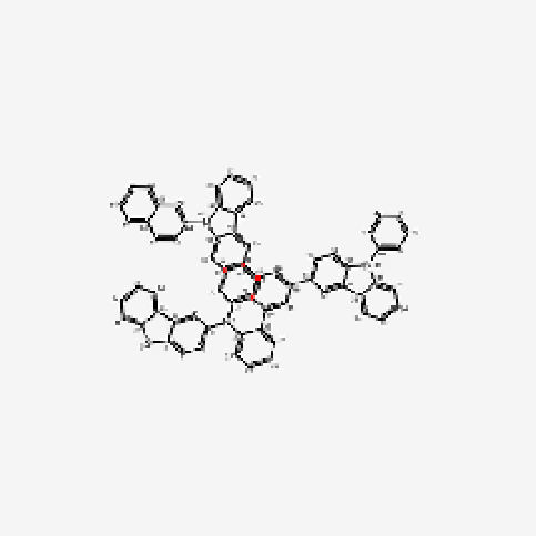 c1ccc(N(c2ccc3sc4ccccc4c3c2)c2ccccc2-c2cc(-c3ccc4c(c3)c3ccccc3n4-c3ccccc3)cc(-c3ccc4c(c3)c3ccccc3n4-c3ccc4ccccc4c3)c2)cc1